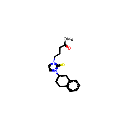 COC(=O)CCCn1ccn(C2CCc3ccccc3C2)c1=S